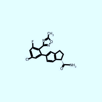 Cc1nc(-c2c(F)cc(Cl)cc2-c2ccc3c(c2)CC[C@@H]3C(N)=O)no1